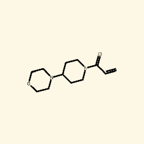 C=CC(=O)N1CCC(N2CCOCC2)CC1